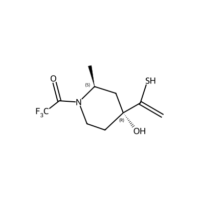 C=C(S)[C@@]1(O)CCN(C(=O)C(F)(F)F)[C@@H](C)C1